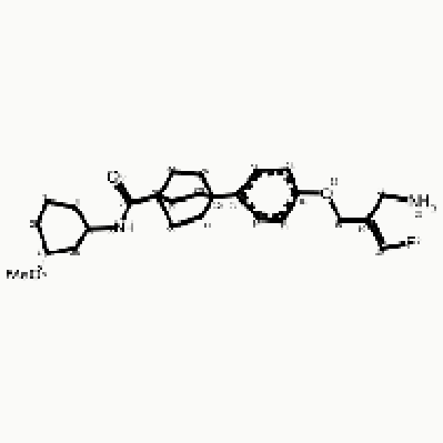 CO[C@@H]1CCCC(NC(=O)C23CCC(c4ccc(OC/C(=C/F)CN)cc4)(CC2)CC3)C1